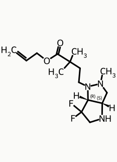 C=CCOC(=O)C(C)(C)CCN1[C@@H]2[C@H](CN1C)NCC2(F)F